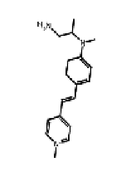 CC(CN)N(C)C1=CC=C(C=Cc2cc[n+](C)cc2)CC1